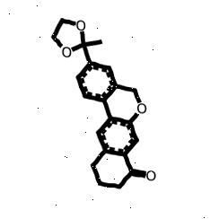 CC1(c2ccc3c(c2)COc2cc4c(cc2-3)CCCC4=O)OCCO1